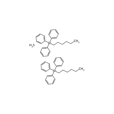 CCCCC[CH2][Sn]([c]1ccccc1)([c]1ccccc1)[c]1ccccc1.CCCCC[CH2][Sn]([c]1ccccc1)([c]1ccccc1)[c]1ccccc1.S